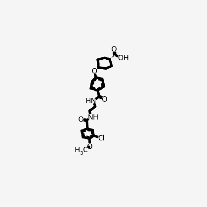 COc1ccc(C(=O)NCCNC(=O)c2ccc(O[C@H]3CC[C@@H](C(=O)O)CC3)cc2)cc1Cl